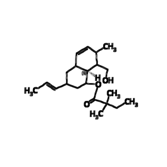 CC=CC1CC2C=CC(C)C(CO)[C@H]2C(OC(=O)C(C)(C)CC)C1